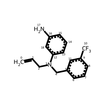 C=CCN(Cc1cccc(C(F)(F)F)c1)c1cc[c]c(N)c1